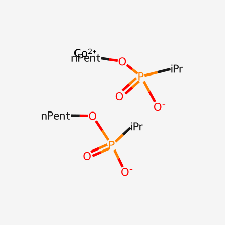 CCCCCOP(=O)([O-])C(C)C.CCCCCOP(=O)([O-])C(C)C.[Co+2]